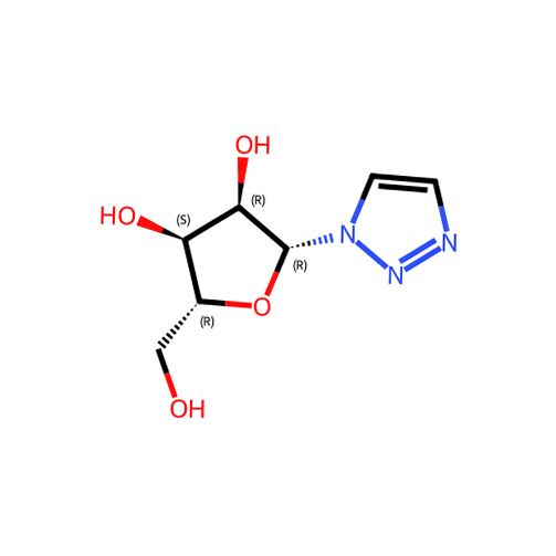 OC[C@H]1O[C@@H](n2ccnn2)[C@H](O)[C@@H]1O